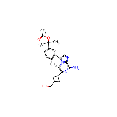 Cc1ccc(C(C)(OC(=O)C(F)(F)F)C(F)(F)F)cc1-c1cnc2c(N)nc(C3CC(CO)C3)cn12